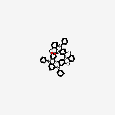 c1ccc(N2c3cc4c(cc3B3c5ccccc5Oc5cccc2c53)B2c3cc5c(cc3Oc3cccc(c32)O4)N(c2ccccc2)c2cccc3c2B5c2ccccc2N3c2ccccc2)cc1